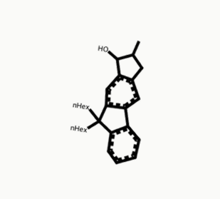 CCCCCCC1(CCCCCC)c2ccccc2-c2cc3c(cc21)C(O)C(C)C3